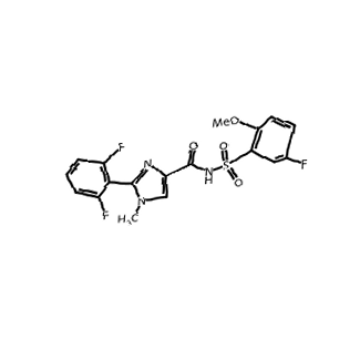 COc1ccc(F)cc1S(=O)(=O)NC(=O)c1cn(C)c(-c2c(F)cccc2F)n1